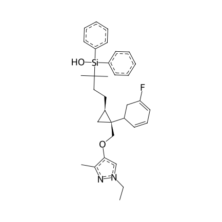 CCn1cc(OC[C@@]2(C3C=CC=C(F)C3)C[C@H]2CCC(C)(C)[Si](O)(c2ccccc2)c2ccccc2)c(C)n1